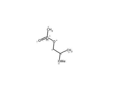 COC(C)CO[PH](C)=O